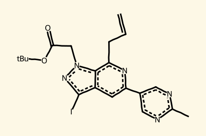 C=CCc1nc(-c2cnc(C)nc2)cc2c(I)nn(CC(=O)OC(C)(C)C)c12